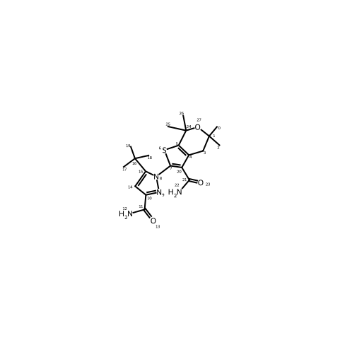 CC1(C)Cc2c(sc(-n3nc(C(N)=O)cc3C(C)(C)C)c2C(N)=O)C(C)(C)O1